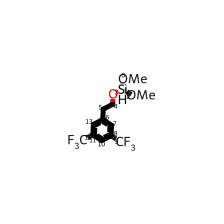 CO[SiH](OC)OCCc1cc(C(F)(F)F)cc(C(F)(F)F)c1